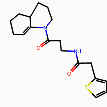 O=C(Cc1cccs1)NCCC(=O)N1CCCC2CCCC=C21